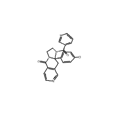 O=C(c1cccnc1)N1CCN2C(=O)c3ccncc3CC12c1ccc(Cl)cc1